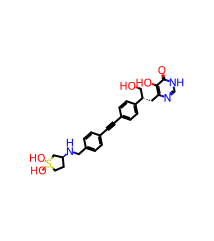 O=c1[nH]cnc(C[C@@H](CO)c2ccc(C#Cc3ccc(CN[C@H]4CCS(O)(O)C4)cc3)cc2)c1O